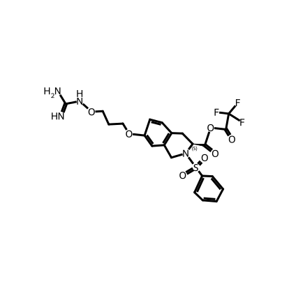 N=C(N)NOCCCOc1ccc2c(c1)CN(S(=O)(=O)c1ccccc1)[C@H](C(=O)OC(=O)C(F)(F)F)C2